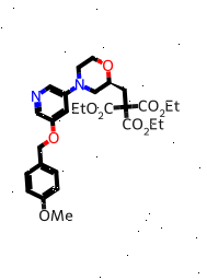 CCOC(=O)C(C[C@H]1CN(c2cncc(OCc3ccc(OC)cc3)c2)CCO1)(C(=O)OCC)C(=O)OCC